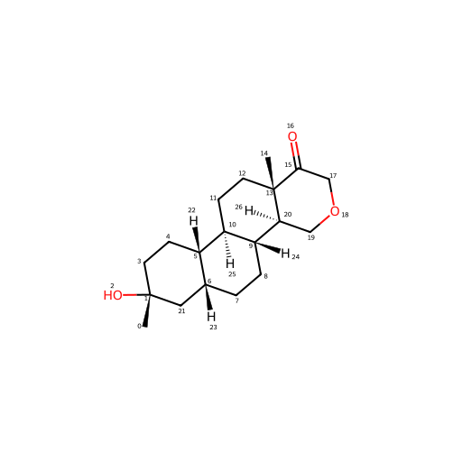 C[C@@]1(O)CC[C@H]2[C@H](CC[C@@H]3[C@@H]2CC[C@]2(C)C(=O)COC[C@@H]32)C1